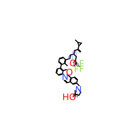 C=C(/C=C(/C=C/c1cccc(-c2cccc(-n3ccc4cc(CN5CC[C@@H](O)C5)ccc4c3=O)c2C)c1C)CC1O[C@H]1C(F)(F)F)C1CC1C